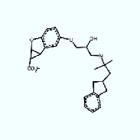 CC(C)(CC1Cc2ccccc2C1)NCC(O)COc1ccc2c(c1)C1C(O2)C1C(=O)O